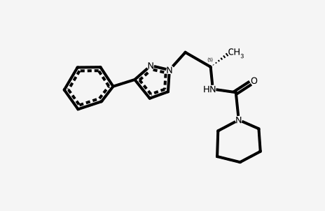 C[C@@H](Cn1ccc(-c2ccccc2)n1)NC(=O)N1CCCCC1